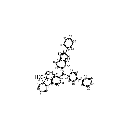 CC1(C)c2ccccc2-c2ccc(N(c3ccc(-c4ccccc4)cc3)c3ccc4oc(-c5ccccc5)nc4c3)cc21